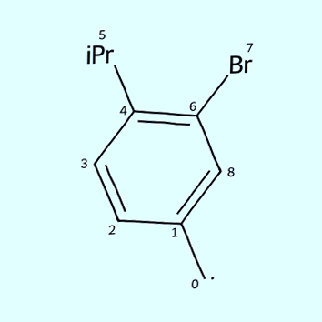 [CH2]c1ccc(C(C)C)c(Br)c1